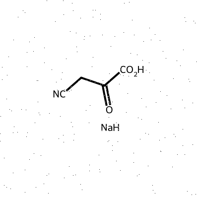 N#CCC(=O)C(=O)O.[NaH]